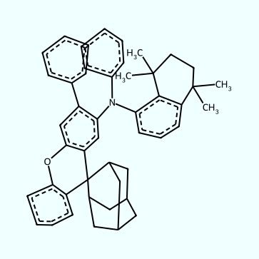 CC1(C)CCC(C)(C)c2c(N(c3ccccc3)c3cc4c(cc3-c3ccccc3)Oc3ccccc3C43C4CC5CC(C4)CC3C5)cccc21